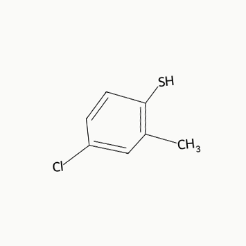 Cc1cc(Cl)ccc1S